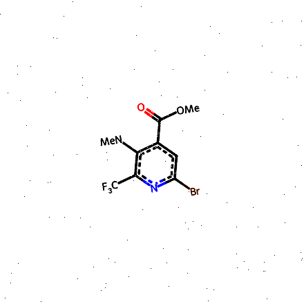 CNc1c(C(=O)OC)cc(Br)nc1C(F)(F)F